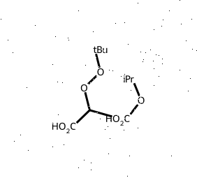 CC(C)OC(=O)O.CC(OOC(C)(C)C)C(=O)O